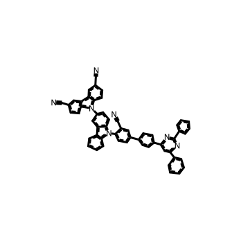 N#Cc1ccc2c(c1)c1cc(C#N)ccc1n2-c1ccc2c(c1)c1ccccc1n2-c1ccc(-c2ccc(-c3cc(-c4ccccc4)nc(-c4ccccc4)n3)cc2)cc1C#N